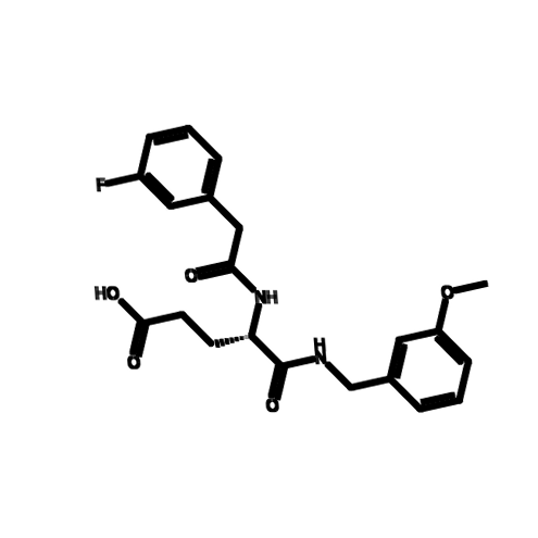 COc1cccc(CNC(=O)[C@H](CCC(=O)O)NC(=O)Cc2cccc(F)c2)c1